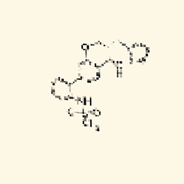 O=S(=O)(Nc1ccccc1-c1ccc2c(c1)OC[C@H](Cc1cccs1)[C@H]2O)C(F)(F)F